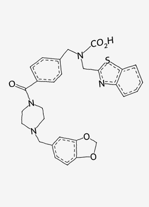 O=C(O)N(Cc1ccc(C(=O)N2CCN(Cc3ccc4c(c3)OCO4)CC2)cc1)Cc1nc2ccccc2s1